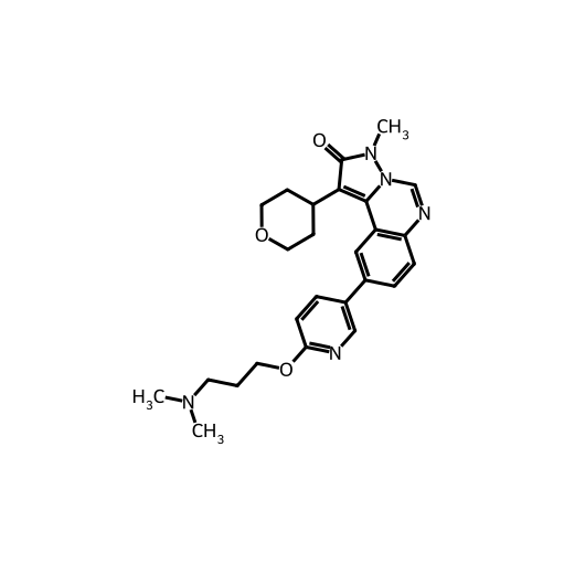 CN(C)CCCOc1ccc(-c2ccc3ncn4c(c(C5CCOCC5)c(=O)n4C)c3c2)cn1